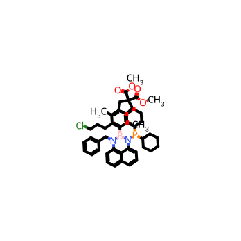 COC(=O)C1(C(=O)OC)Cc2c(C)c(CCCCl)c(B3N(Cc4ccccc4)c4cccc5cccc(c45)N3P(C3CCCCC3)C3CCCCC3)c(C)c2C1